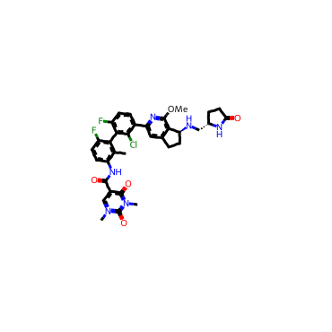 COc1nc(-c2ccc(F)c(-c3c(F)ccc(NC(=O)c4cn(C)c(=O)n(C)c4=O)c3C)c2Cl)cc2c1[C@@H](NC[C@@H]1CCC(=O)N1)CC2